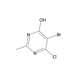 Cc1nc(O)c(Br)c(Cl)n1